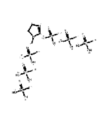 CN1C=NCC1.O=P(O)(O)F.O=P(O)(O)F.O=P(O)(O)F.O=P(O)(O)F.O=P(O)(O)F.O=P(O)(O)F